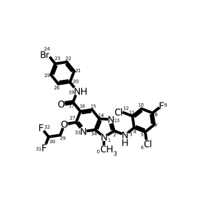 Cn1c(Nc2c(Cl)cc(F)cc2Cl)nc2cc(C(=O)Nc3ccc(Br)cc3)c(OCC(F)F)nc21